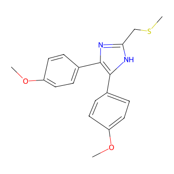 COc1ccc(-c2nc(CSC)[nH]c2-c2ccc(OC)cc2)cc1